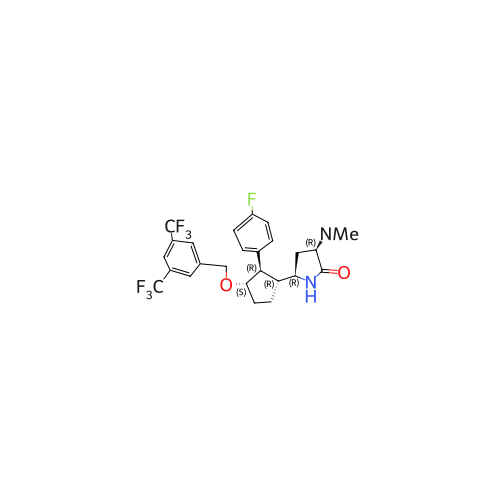 CN[C@@H]1C[C@H]([C@@H]2CC[C@H](OCc3cc(C(F)(F)F)cc(C(F)(F)F)c3)[C@H]2c2ccc(F)cc2)NC1=O